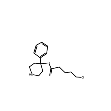 O=C(CCCCCl)OC1(c2ccccc2)CCNCC1